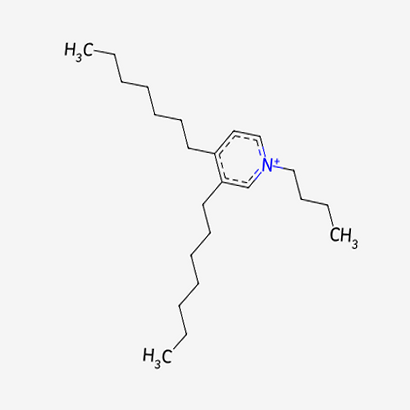 CCCCCCCc1cc[n+](CCCC)cc1CCCCCCC